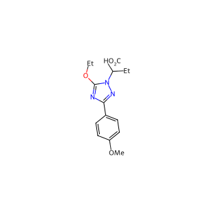 CCOc1nc(-c2ccc(OC)cc2)nn1C(CC)C(=O)O